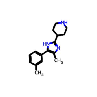 Cc1cccc(-c2[nH]c(C3CCNCC3)nc2C)c1